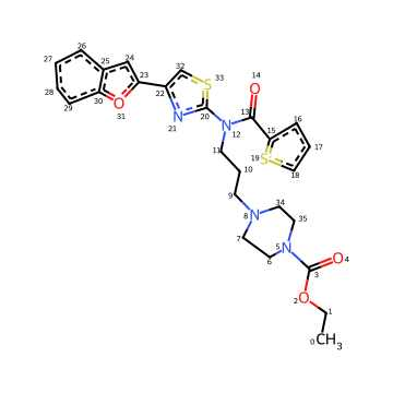 CCOC(=O)N1CCN(CCCN(C(=O)c2cccs2)c2nc(-c3cc4ccccc4o3)cs2)CC1